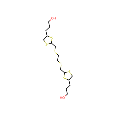 OCCCC1CSC(CSCCSCC2SCC(CCCO)S2)S1